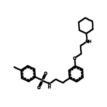 Cc1ccc(S(=O)(=O)NCCc2cccc(OCCNC3CCCCC3)c2)cc1